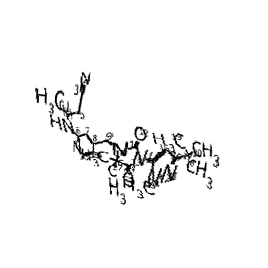 C[C@@H](CC#N)Nc1cc(CN2C(=O)N(c3cc(C(C)(C)C)nn3C)C(=O)C2(C)C)ccn1